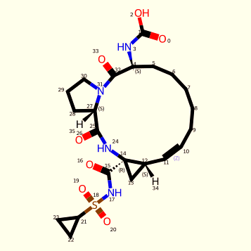 O=C(O)N[C@H]1CCCCC/C=C\[C@@H]2C[C@@]2(C(=O)NS(=O)(=O)C2CC2)NC(=O)[C@@H]2CCCN2C1=O